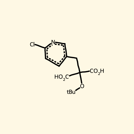 CC(C)(C)OC(Cc1ccc(Cl)nc1)(C(=O)O)C(=O)O